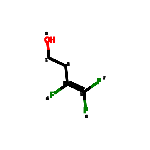 OCCC(F)=C(F)F